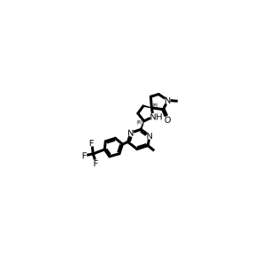 Cc1cc(-c2ccc(C(F)(F)F)cc2)nc([C@H]2CC[C@]3(CCN(C)C3=O)N2)n1